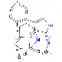 C=C(C)C(/C1=C\[C@@H](C)CNCCC1)=C1/C(c2ccccc2F)=CN/C1=N/C